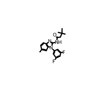 Cc1ccc2nc(NC(=O)CC(C)(C)C)n(-c3cc(F)cc(F)c3)c2c1